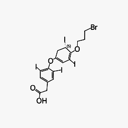 O=C(O)Cc1cc(I)c(OC2=CC(I)=C(OCCCBr)[C@@H](I)C2)c(I)c1